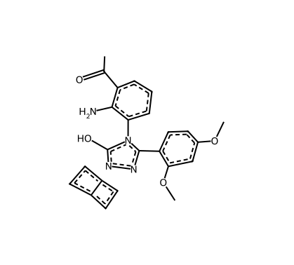 COc1ccc(-c2nnc(O)n2-c2cccc(C(C)=O)c2N)c(OC)c1.c1cc2ccc1-2